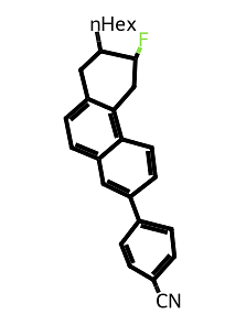 CCCCCCC1Cc2ccc3cc(-c4ccc(C#N)cc4)ccc3c2CC1F